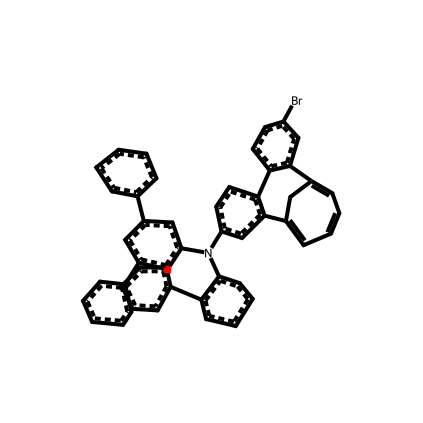 Brc1ccc2c(c1)C1=CC=CC=C(C1)c1cc(N(c3cc(-c4ccccc4)cc(-c4ccccc4)c3)c3ccccc3-c3ccccc3)ccc1-2